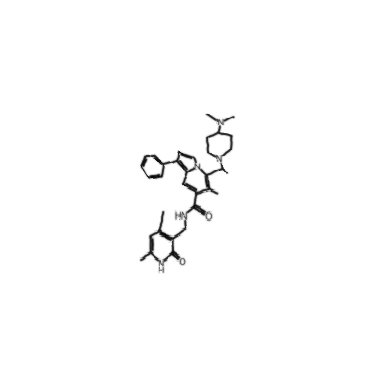 Cc1cc(C)c(CNC(=O)c2cc3c(-c4ccccc4)ccn3c(C(C)N3CCC(N(C)C)CC3)c2C)c(=O)[nH]1